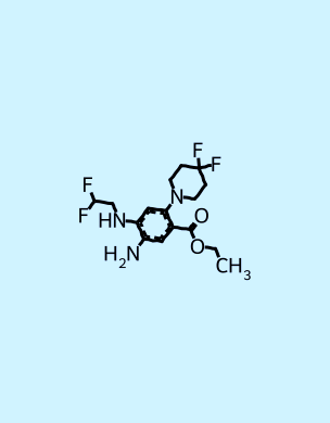 CCOC(=O)c1cc(N)c(NCC(F)F)cc1N1CCC(F)(F)CC1